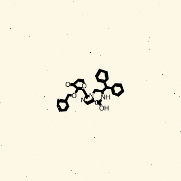 O=C(O)NC(Cn1ccnc1-c1occc(=O)c1OCc1ccccc1)C(c1ccccc1)c1ccccc1